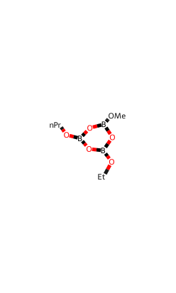 CCCOB1OB(OC)OB(OCC)O1